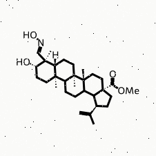 C=C(C)[C@@H]1CC[C@]2(C(=O)OC)CC[C@]3(C)C(CCC4[C@@]5(C)CC[C@H](O)[C@@](C)(/C=N/O)[C@@H]5CC[C@]43C)C12